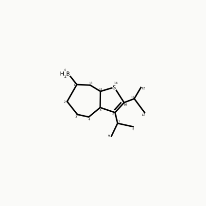 BC1CCCC2C(C(C)C)=C(C(C)C)SC2C1